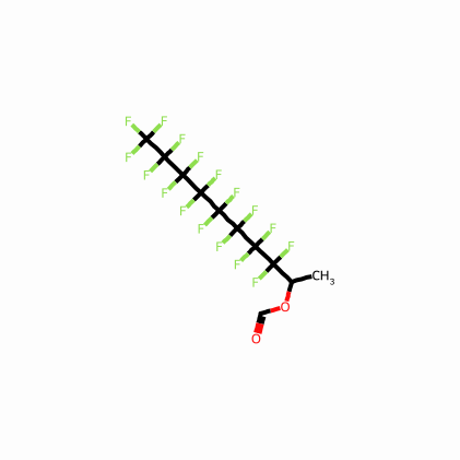 CC(OC=O)C(F)(F)C(F)(F)C(F)(F)C(F)(F)C(F)(F)C(F)(F)C(F)(F)C(F)(F)F